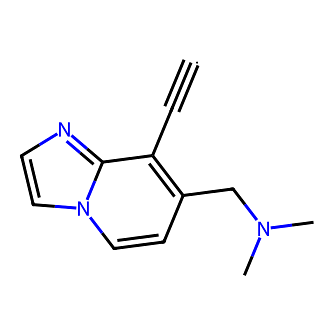 [C]#Cc1c(CN(C)C)ccn2ccnc12